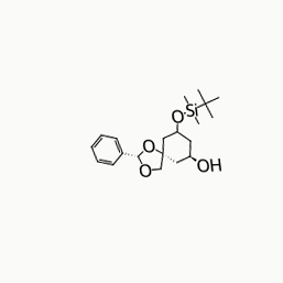 CC(C)(C)[Si](C)(C)OC1C[C@@H](O)C[C@@]2(CO[C@H](c3ccccc3)O2)C1